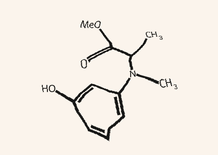 COC(=O)C(C)N(C)c1cccc(O)c1